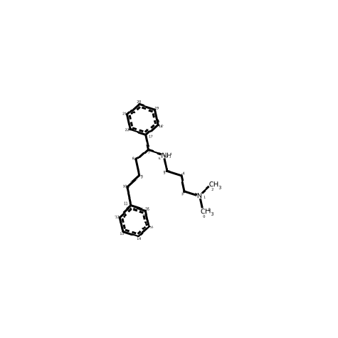 CN(C)CCCNC(CCCc1ccccc1)c1ccccc1